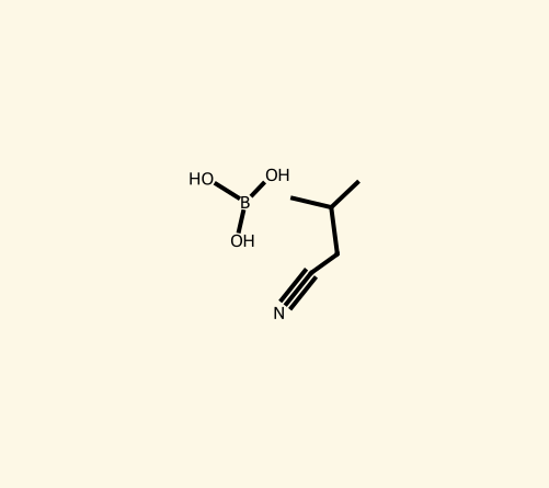 CC(C)CC#N.OB(O)O